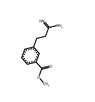 COC(=O)c1cccc(CCC(=N)N)c1